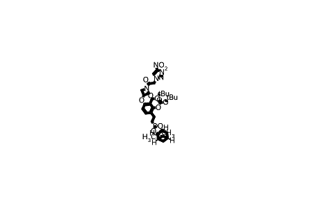 CC(C)(C)OC(=O)Oc1c(CCB2O[C@@H]3C[C@@H]4C[C@@H](C4(C)C)[C@]3(C)O2)ccc(OC2CN(C(=O)Cn3cc([N+](=O)[O-])nn3)C2)c1C(=O)OC(C)(C)C